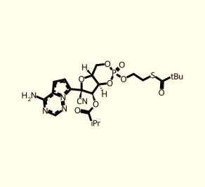 CC(C)C(=O)O[C@@H]1[C@@H]2OP(=O)(OCCSC(=O)C(C)(C)C)OC[C@H]2O[C@@]1(C#N)c1ccc2c(N)ncnn12